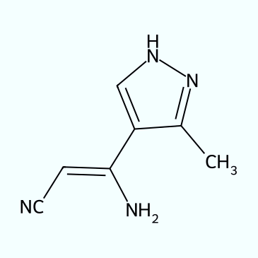 Cc1n[nH]cc1C(N)=CC#N